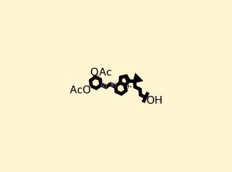 CC(=O)OC1C/C(=C/C=C2\CCC[C@]3(C)C(C4(CCCC(C)(C)O)CC4)=CCC23)C[C@@H](OC(C)=O)C1